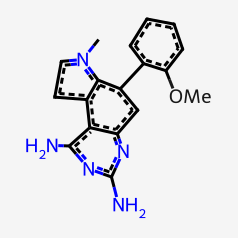 COc1ccccc1-c1cc2nc(N)nc(N)c2c2ccn(C)c12